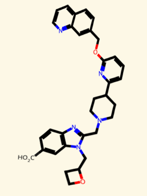 O=C(O)c1ccc2nc(CN3CCC(c4cccc(OCc5ccc6cccnc6c5)n4)CC3)n(CC3CCO3)c2c1